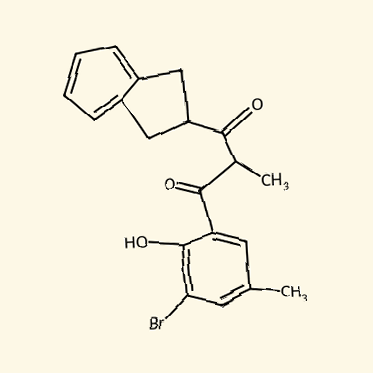 Cc1cc(Br)c(O)c(C(=O)C(C)C(=O)C2Cc3ccccc3C2)c1